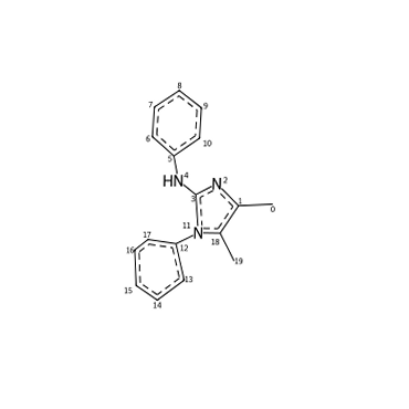 Cc1nc(Nc2ccccc2)n(-c2ccccc2)c1C